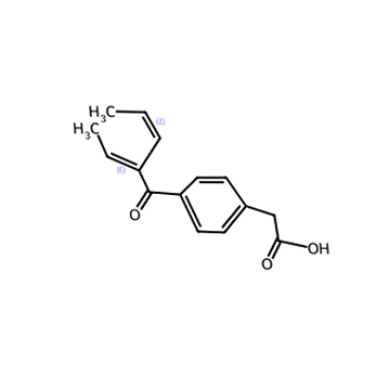 C/C=C\C(=C/C)C(=O)c1ccc(CC(=O)O)cc1